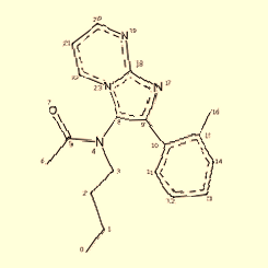 CCCCN(C(C)=O)c1c(-c2ccccc2C)nc2ncccn12